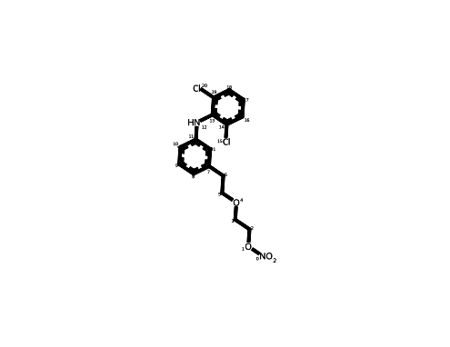 O=[N+]([O-])OCCOCCc1cc[c]c(Nc2c(Cl)cccc2Cl)c1